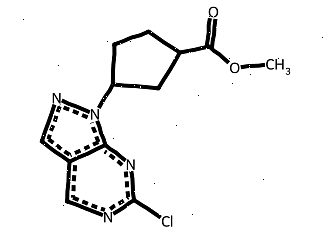 COC(=O)C1CCC(n2ncc3cnc(Cl)nc32)C1